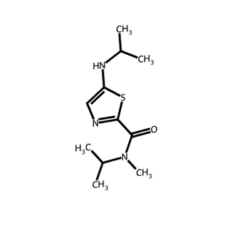 CC(C)Nc1cnc(C(=O)N(C)C(C)C)s1